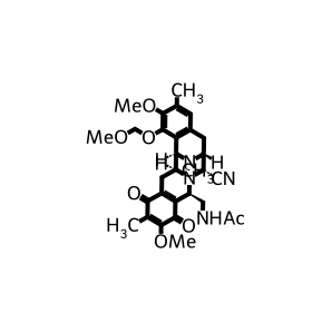 COCOc1c(OC)c(C)cc2c1[C@@H]1[C@@H]3CC4=C(C(=O)C(OC)=C(C)C4=O)[C@H](CNC(C)=O)N3[C@@H](C#N)[C@@H](C2)N1C